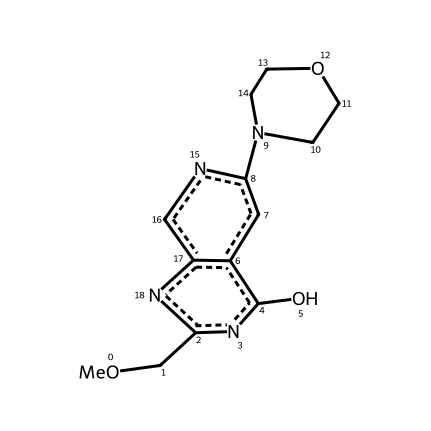 COCc1nc(O)c2cc(N3CCOCC3)ncc2n1